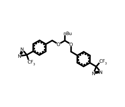 CCCCC(OCc1ccc(C2(C(F)(F)F)N=N2)cc1)OCc1ccc(C2(C(F)(F)F)N=N2)cc1